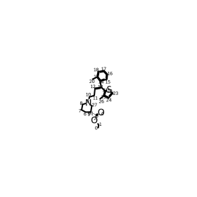 CCOC(=O)[C@@H]1CCCN(CCC=C(c2ccccc2C)c2sccc2C)C1